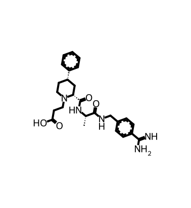 C[C@H](NC(=O)[C@H]1C[C@@H](c2ccccc2)CCN1CCC(=O)O)C(=O)NCc1ccc(C(=N)N)cc1